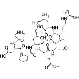 CC(C)C[C@H](NC(=O)[C@H](CCCNC(=N)N)NC(=O)[C@H](CO)NC(=O)[C@H](CCC(=O)O)NC(=O)[C@H](CC(C)C)NC(=O)[C@@H]1CCCN1C(=O)[C@H](CC(=O)O)NC(=O)CN)C(=O)O